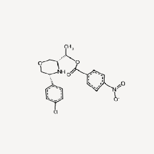 CC(OC(=O)c1ccc([N+](=O)[O-])cc1)[C@H]1COC[C@@H](c2ccc(Cl)cc2)N1